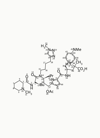 CC[C@H](C)[C@H](NC(=O)[C@H]1CCCCN1C)C(=O)N(CCCCc1cn(C)nn1)[C@H](C[C@@H](OC(C)=O)c1nc(C(=O)N[C@@H](Cc2ccc(NC)cc2)CC(C)(C)C(=O)O)cs1)C(C)C